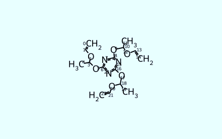 C=COC(C)Oc1nc(OC(C)OC=C)nc(OC(C)OC=C)n1